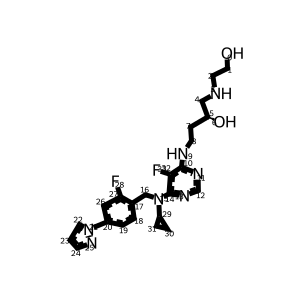 OCCNC[C@H](O)CCNc1ncnc(N(Cc2ccc(-n3cccn3)cc2F)C2CC2)c1F